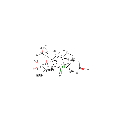 CCCCC(CCC)C1(O)OCC(=O)[C@@]2(O1)[C@H](C)C[C@H]1[C@@H]3CCC4=CC(=O)C=C[C@]4(C)[C@@]3(Cl)[C@@H](Cl)C[C@@]12C